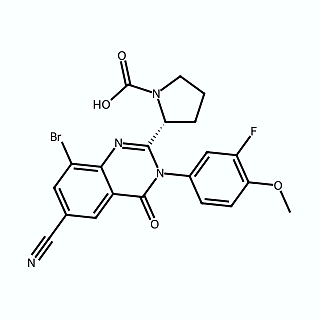 COc1ccc(-n2c([C@H]3CCCN3C(=O)O)nc3c(Br)cc(C#N)cc3c2=O)cc1F